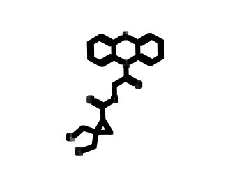 O=C(OCC(=O)N1c2ccccc2Sc2ccccc21)C1CC1(CCl)CCl